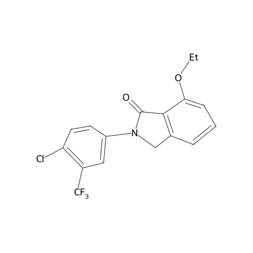 CCOc1cccc2c1C(=O)N(c1ccc(Cl)c(C(F)(F)F)c1)C2